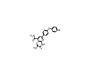 COC(=O)[C@H](C)Nc1nc(C(N)=O)cc(-c2ccc(Oc3ccc(F)cc3)cc2)n1